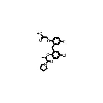 C[C@@H](Oc1ccc(Cl)cc1Cc1cc(Cl)ccc1OCC(=O)O)C(=O)N1CCCC1